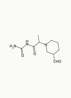 CC(C(=O)NC(N)=O)N1CCCC(C=O)C1